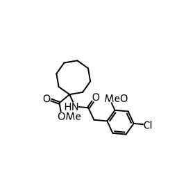 COC(=O)C1(NC(=O)Cc2ccc(Cl)cc2OC)CCCCCCC1